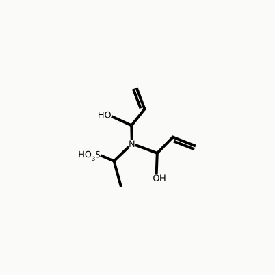 C=CC(O)N(C(O)C=C)C(C)S(=O)(=O)O